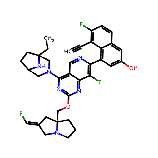 C#Cc1c(F)ccc2cc(O)cc(-c3ncc4c(N5CC6CCC(CC)(C5)N6)nc(OC[C@@]56CCCN5C/C(=C/F)C6)nc4c3F)c12